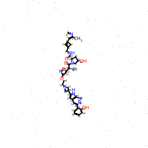 Cc1ncsc1C12CC(CNC(=O)[C@@H]3C[C@@H](O)CN3C(=O)[C@H](c3cc(OCCN4CC(c5cc6cc(-c7ccccc7O)nnc6[nH]5)C4)no3)C(C)C)(C1)C2